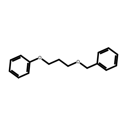 [c]1cccc(OCCCOCc2ccccc2)c1